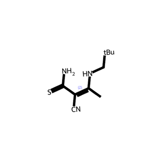 C/C(NCC(C)(C)C)=C(\C#N)C(N)=S